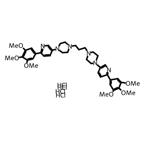 COc1cc(-c2ccc(N3CCN(CCCN4CCN(c5ccc(-c6cc(OC)c(OC)c(OC)c6)nc5)CC4)CC3)cn2)cc(OC)c1OC.Cl.Cl.Cl.Cl